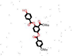 COC(=O)c1cc(OC(=O)c2ccc(OC)cc2)ccc1OC(=O)c1ccc(O)cc1